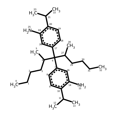 CCCCC(C)C(c1ccc(C(C)C)c(N)c1)(c1ccc(C(C)C)c(N)c1)C(C)CCCC